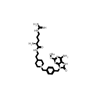 CCCCOc1nc(N)c2[nH]c(=O)n(Cc3ccc(CN4CCC(CCNC(=O)[C@@H](N)CCCNC(=N)N)CC4)cc3)c2n1